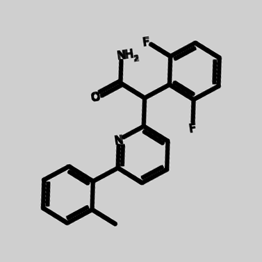 Cc1ccccc1-c1cccc(C(C(N)=O)c2c(F)cccc2F)n1